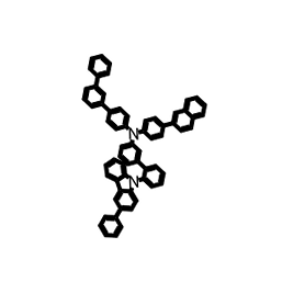 c1ccc(-c2cccc(-c3ccc(N(c4ccc(-c5ccc6ccccc6c5)cc4)c4cccc(-c5ccccc5-n5c6ccccc6c6cc(-c7ccccc7)ccc65)c4)cc3)c2)cc1